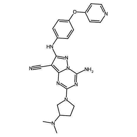 CN(C)C1CCN(c2nc(N)n3nc(Nc4ccc(Oc5ccncc5)cc4)c(C#N)c3n2)C1